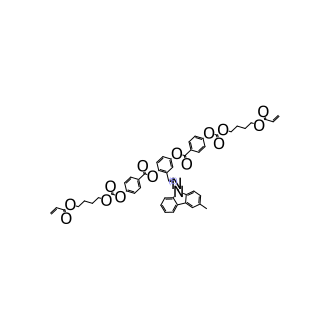 C=CC(=O)OCCCCOC(=O)Oc1ccc(C(=O)Oc2ccc(OC(=O)c3ccc(OC(=O)OCCCCOC(=O)C=C)cc3)c(/C=N/n3c4ccccc4c4cc(C)ccc43)c2)cc1